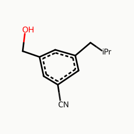 CC(C)Cc1cc(C#N)cc(CO)c1